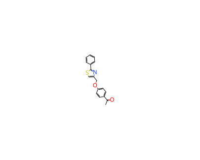 CC(=O)c1ccc(OCc2csc(-c3ccccc3)n2)cc1